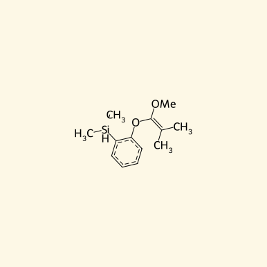 COC(Oc1ccccc1[SiH](C)C)=C(C)C